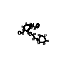 O.O.O=Cc1ccccc1OCCN1CCCCC1